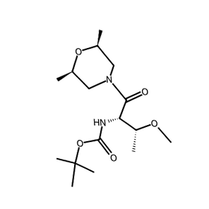 CO[C@H](C)[C@H](NC(=O)OC(C)(C)C)C(=O)N1C[C@@H](C)O[C@@H](C)C1